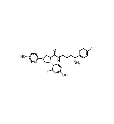 N#Cc1ccc(N2CC(C(=O)NCCC[C@H](N)C3=CC=C(Cl)CC3)[C@H](C3C=CC(O)=CC3F)C2)nn1